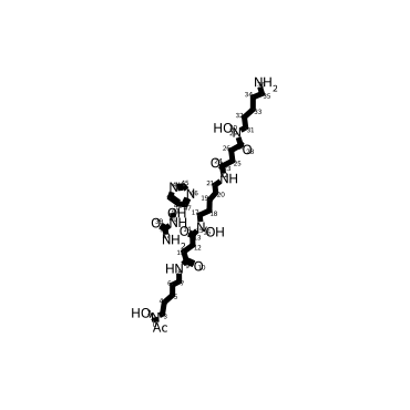 CC(=O)N(O)CCCCCNC(=O)CCC(=O)N(O)CCCCCNC(=O)CCC(=O)N(O)CCCCCN.NC(=O)NO.c1cncnc1